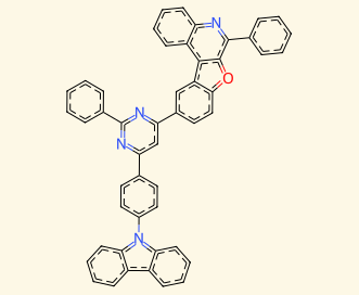 c1ccc(-c2nc(-c3ccc(-n4c5ccccc5c5ccccc54)cc3)cc(-c3ccc4oc5c(-c6ccccc6)nc6ccccc6c5c4c3)n2)cc1